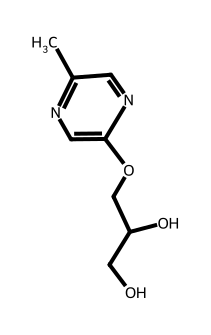 Cc1cnc(OCC(O)CO)cn1